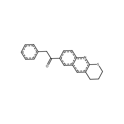 O=C(Cc1ccccc1)c1ccc2nc3c(cc2c1)CCCS3